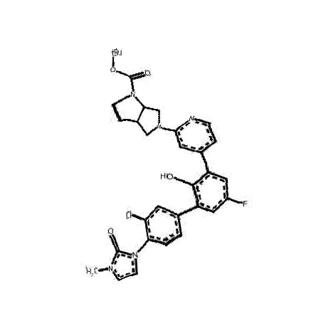 Cn1ccn(-c2ccc(-c3cc(F)cc(-c4ccnc(N5CC6CCN(C(=O)OC(C)(C)C)C6C5)c4)c3O)cc2Cl)c1=O